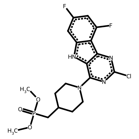 COP(=O)(CC1CCN(c2nc(Cl)nc3c2[nH]c2cc(F)cc(F)c23)CC1)OC